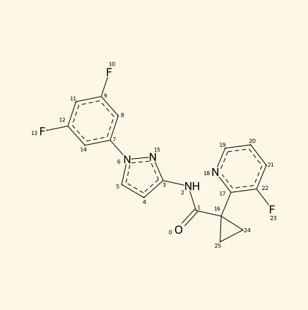 O=C(Nc1ccn(-c2cc(F)cc(F)c2)n1)C1(c2ncccc2F)CC1